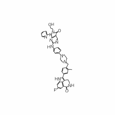 Cc1cc(-c2[nH]c3cc(F)cc4c3c2CCNC4=O)ccc1CN1CCN(c2ccc(Nc3ncc4c(=O)n(CCO)n(-c5ccccn5)c4n3)cc2)CC1